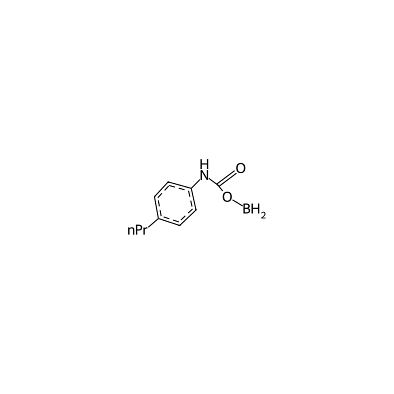 BOC(=O)Nc1ccc(CCC)cc1